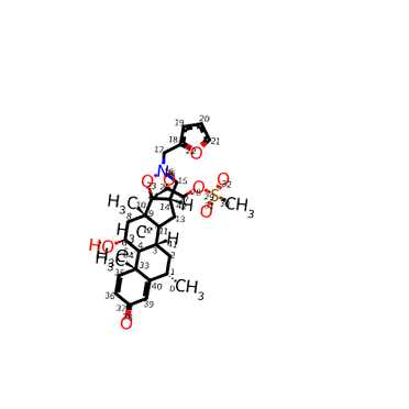 C[C@H]1C[C@@H]2[C@](C)([C@@H](O)C[C@@]3(C)[C@@]2(C)C[C@H]2CN(Cc4ccco4)O[C@]23C(=O)COS(C)(=O)=O)[C@@]2(C)C=CC(=O)C=C12